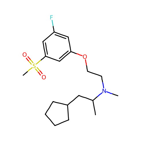 CC(CC1CCCC1)N(C)CCOc1cc(F)cc(S(C)(=O)=O)c1